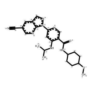 COC1CCC(NC(=O)c2cnc(-n3ncc4cc(C#N)cnc43)cc2NC(C)C)CC1